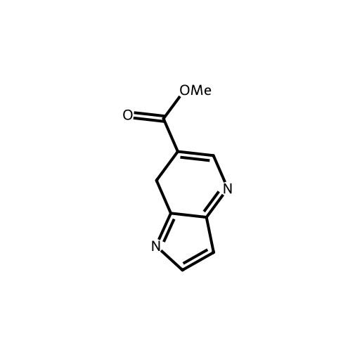 COC(=O)C1=CN=C2C=CN=C2C1